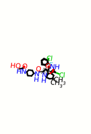 CC1(C)CCC2(CC1)N[C@@H](C(=O)NC1CCC(NC(=O)CO)CC1)[C@H](c1cccc(Cl)c1F)[C@]21C(=O)Nc2cc(Cl)ccc21